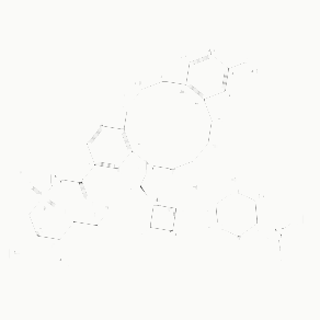 CCC[C@H](C)[C@H](C)CS(=O)(=O)NC(=O)c1ccc2c(c1)N(C[C@@H]1CC[C@H]1C[C@H]1OC[C@@H](N(C)C)CO1)CCCCc1cc(Cl)ccc1CCO2